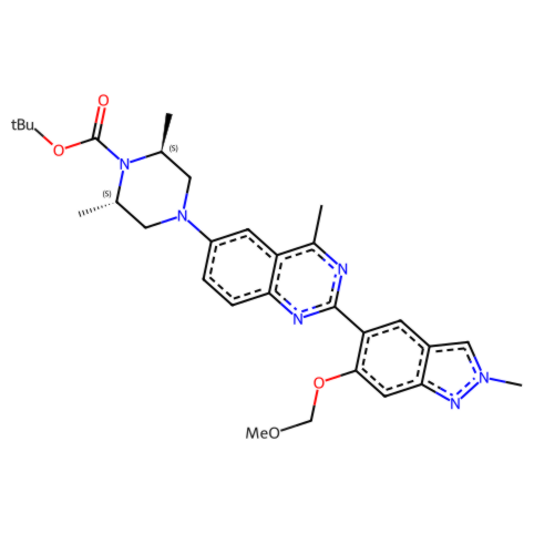 COCOc1cc2nn(C)cc2cc1-c1nc(C)c2cc(N3C[C@H](C)N(C(=O)OC(C)(C)C)[C@@H](C)C3)ccc2n1